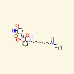 O=C1CCC(N2C(=O)c3cccc(NCCCCCCCNC4CC5(CCC5)C4)c3C2=O)C(=O)N1